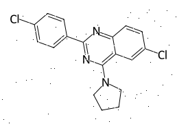 Clc1ccc(-c2nc(N3CCCC3)c3cc(Cl)ccc3n2)cc1